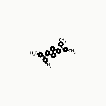 Cc1ccc(N(C2=CCC(C)C=C2)c2cccc(-c3ccccc3-c3ccccc3-c3cccc(N(c4ccc(C)cc4)c4ccc(C)cc4)c3)c2)cc1